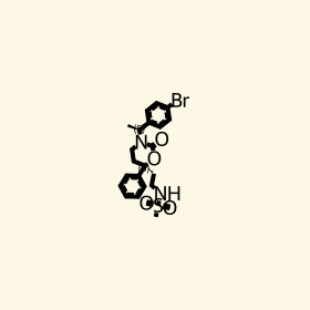 C[C@@H](c1ccc(Br)cc1)N1CC[C@](CCNS(C)(=O)=O)(c2ccccc2)OC1=O